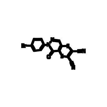 N#CC1=C(C#N)Sc2c(cnn(-c3ccc(Br)cc3)c2=O)S1